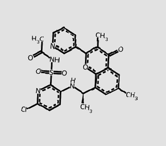 CC(=O)NS(=O)(=O)c1nc(Cl)ccc1N[C@H](C)c1cc(C)cc2c(=O)c(C)c(-c3cccnc3)oc12